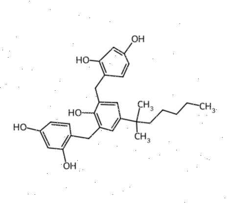 CCCCCC(C)(C)c1cc(Cc2ccc(O)cc2O)c(O)c(Cc2ccc(O)cc2O)c1